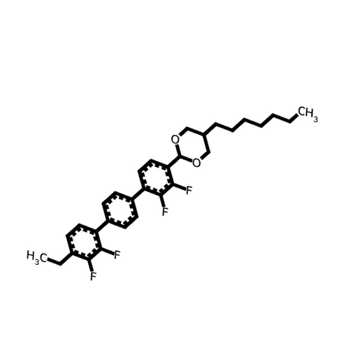 CCCCCCCC1COC(c2ccc(-c3ccc(-c4ccc(CC)c(F)c4F)cc3)c(F)c2F)OC1